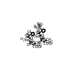 Cc1onc(-c2ccccc2Cl)c1C(=O)N[C@@H]1C(=O)N2[C@@H]1SC(C)(C)[C@@H]2C(=O)[O-].Cc1onc(-c2ccccc2Cl)c1C(=O)N[C@@H]1C(=O)N2[C@@H]1SC(C)(C)[C@@H]2C(=O)[O-].O.O.[Na+].[Na+]